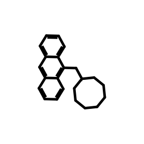 c1ccc2c(C[C]3CCCCCCC3)c3ccccc3cc2c1